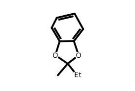 [CH2]CC1(C)Oc2ccccc2O1